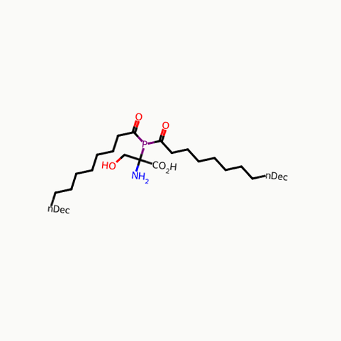 CCCCCCCCCCCCCCCCCC(=O)P(C(=O)CCCCCCCCCCCCCCCCC)C(N)(CO)C(=O)O